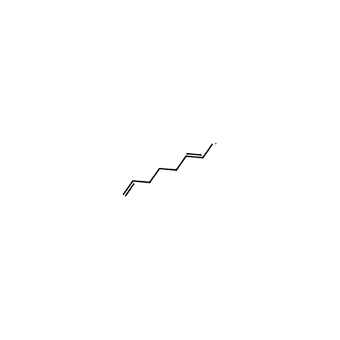 [CH2]/C=C/CCCC=C